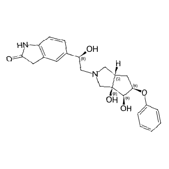 O=C1Cc2cc([C@@H](O)CN3C[C@@H]4C[C@@H](Oc5ccccc5)[C@@H](O)[C@]4(O)C3)ccc2N1